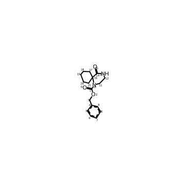 O=C(OCc1ccccc1)N1CCNC(=O)C12CCCCC2